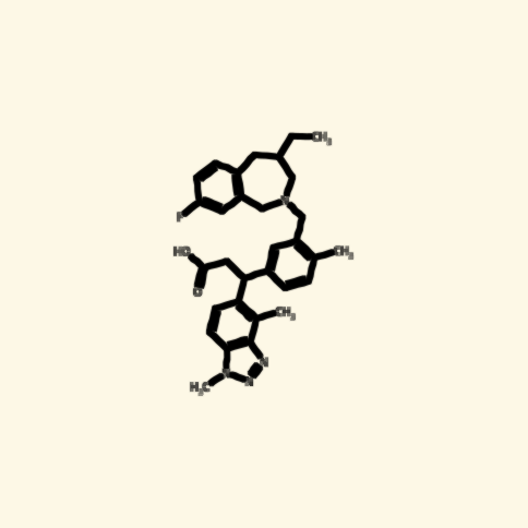 CCC1Cc2ccc(F)cc2CN(Cc2cc(C(CC(=O)O)c3ccc4c(nnn4C)c3C)ccc2C)C1